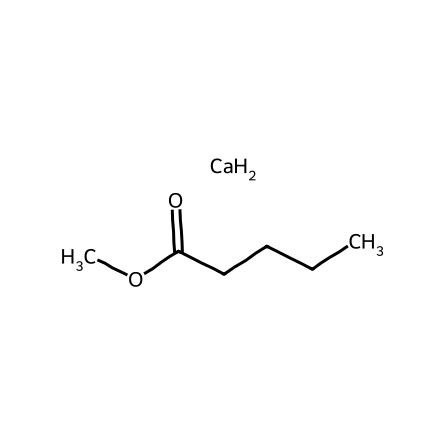 CCCCC(=O)OC.[CaH2]